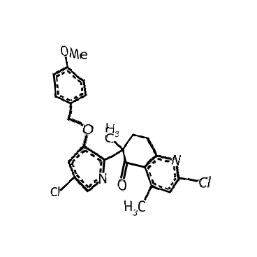 COc1ccc(COc2cc(Cl)cnc2C2(C)CCc3nc(Cl)cc(C)c3C2=O)cc1